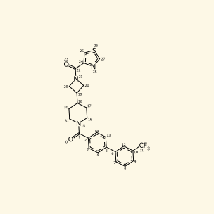 O=C(c1ccc(-c2cccc(C(F)(F)F)c2)cc1)N1CCC(C2CN(C(=O)c3cscn3)C2)CC1